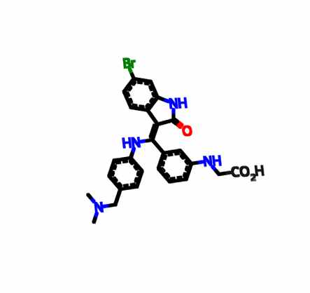 CN(C)Cc1ccc(NC(=C2C(=O)Nc3cc(Br)ccc32)c2cccc(NCC(=O)O)c2)cc1